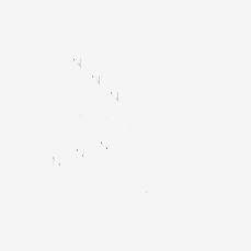 C=Cc1ccccc1.[N-]=[N+]=NS(=O)(=O)N=[N+]=[N-]